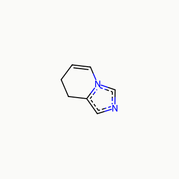 C1=Cn2cncc2CC1